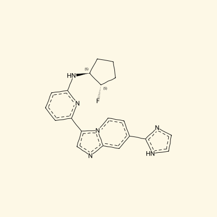 F[C@H]1CCC[C@@H]1Nc1cccc(-c2cnc3cc(-c4ncc[nH]4)ccn23)n1